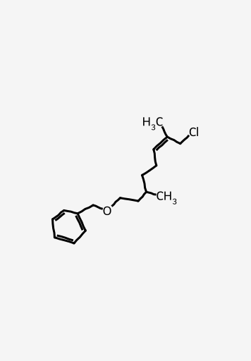 CC(=CCCC(C)CCOCc1ccccc1)CCl